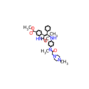 COC(=O)c1ccc2c(c1)NC(=O)/C2=C(/c1ccccc1)C(C)(C)Nc1ccc(N(C)C(=O)CN2CCN(C)CC2)cc1